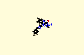 C=c1nc2c(c(=O)[nH]1)=Nc1cc(C)c(C)cc1N2CCNCc1ccc(C)cc1